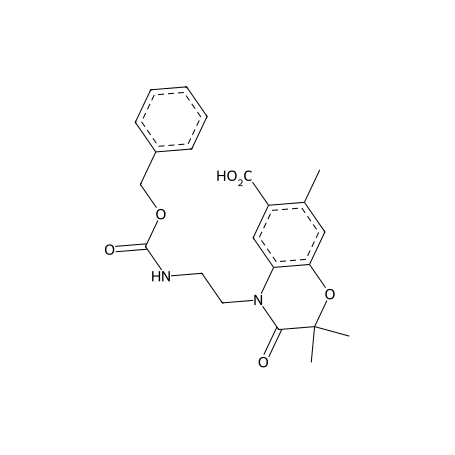 Cc1cc2c(cc1C(=O)O)N(CCNC(=O)OCc1ccccc1)C(=O)C(C)(C)O2